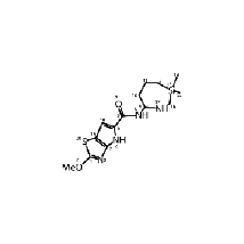 COc1nc2[nH]c(C(=O)NC3CCC[Si](C)(C)CN3)cc2s1